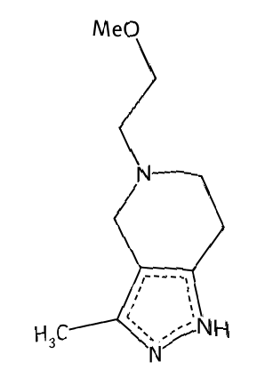 COCCN1CCc2[nH]nc(C)c2C1